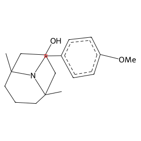 COc1ccc(CN2C3(C)CCCC2(C)CC(O)C3)cc1